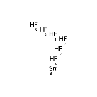 F.F.F.F.F.F.[Sn]